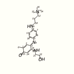 CC1=CC(=Nc2ccc(NCCC[N+](C)(C)C)cc2)C(NCCO)=CC1=O